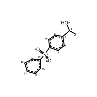 CC(O)c1ccc(S(=O)(=O)c2ccccc2)cc1